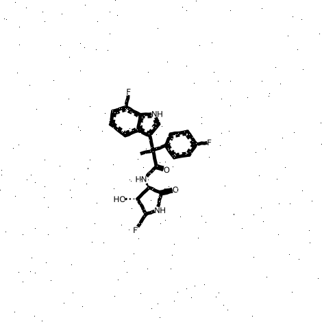 CC(C(=O)N[C@@H]1C(=O)NC(F)[C@@H]1O)(c1ccc(F)cc1)c1c[nH]c2c(F)cccc12